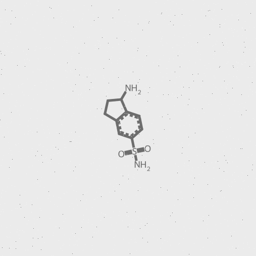 NC1CCc2cc(S(N)(=O)=O)ccc21